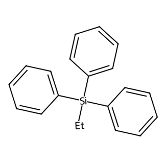 [CH2]C[Si](c1ccccc1)(c1ccccc1)c1ccccc1